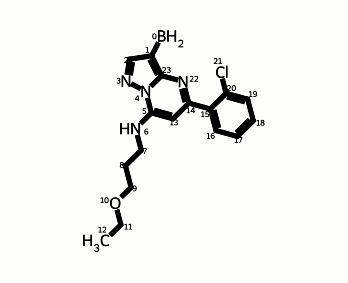 Bc1cnn2c(NCCCOCC)cc(-c3ccccc3Cl)nc12